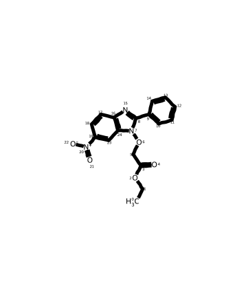 CCOC(=O)COn1c(-c2ccccc2)nc2ccc([N+](=O)[O-])cc21